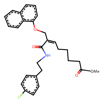 COC(=O)CCCCC=C(COc1cccc2ccccc12)C(=O)NCCc1ccc(F)cc1